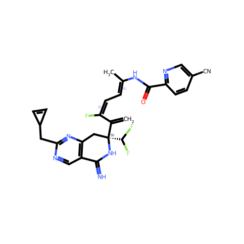 C=C(/C(F)=C\C=C(/C)NC(=O)c1ccc(C#N)cn1)[C@]1(C(F)F)Cc2nc(CC3C=C3)ncc2C(=N)N1